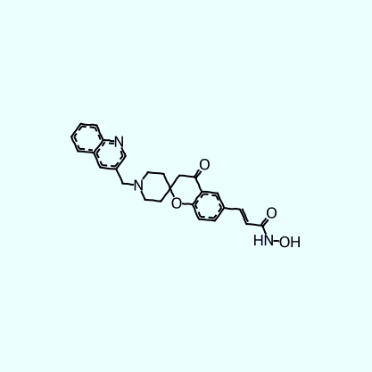 O=C(C=Cc1ccc2c(c1)C(=O)CC1(CCN(Cc3cnc4ccccc4c3)CC1)O2)NO